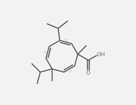 CC(C)C1=C/C(C)(C(=O)O)/C=C\C(C)(C(C)C)/C=C\1